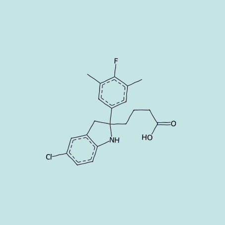 Cc1cc(C2(CCCC(=O)O)Cc3cc(Cl)ccc3N2)cc(C)c1F